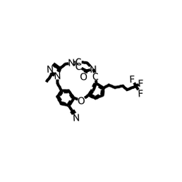 Cc1ncc2n1Cc1ccc(C#N)c(c1)Oc1ccc(CCCCC(F)(F)F)c(c1)CN1CCN(CC1=O)C2